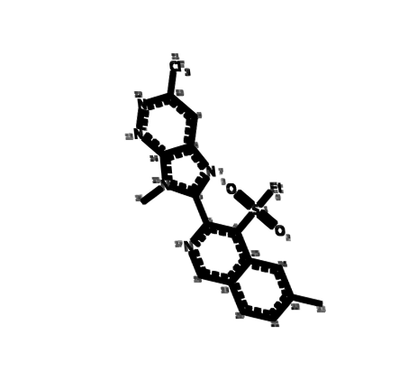 CCS(=O)(=O)c1c(-c2nc3cc(C(F)(F)F)nnc3n2C)ncc2ccc(C)cc12